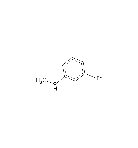 CPc1cccc(C(C)C)c1